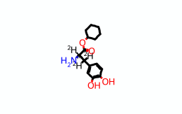 [2H]C([2H])(c1ccc(O)c(O)c1)[C@]([2H])(N)C(=O)OC1CCCCC1